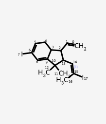 C=CC1C2CC=C(I)C=C2C(C)(C)C1/C=C(\C)I